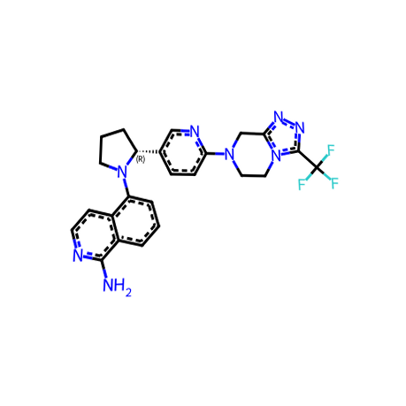 Nc1nccc2c(N3CCC[C@@H]3c3ccc(N4CCn5c(nnc5C(F)(F)F)C4)nc3)cccc12